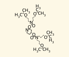 CC(C)OCCCN(CCCOC(C)C)C(=O)Oc1ccnc(OC(=O)N(CCCOC(C)C)CCCOC(C)C)c1